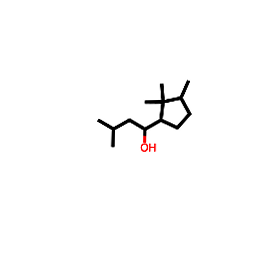 CC(C)CC(O)C1CCC(C)C1(C)C